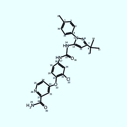 Cc1ccc(-n2nc(C(C)(C)C)cc2NC(=O)Nc2ccc(Oc3ccnc(C(N)=O)c3)c(Cl)c2)cc1